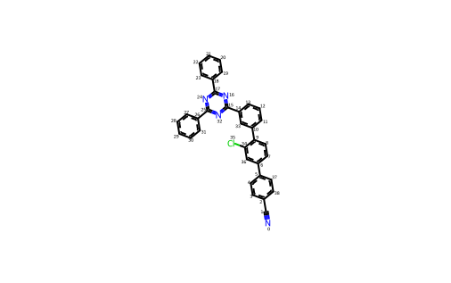 N#Cc1ccc(-c2ccc(-c3cccc(-c4nc(-c5ccccc5)nc(-c5ccccc5)n4)c3)c(Cl)c2)cc1